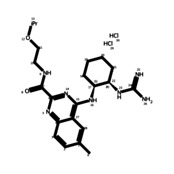 Cc1ccc2nc(C(=O)NCCOC(C)C)nc(N[C@H]3CCCC[C@H]3NC(=N)N)c2c1.Cl.Cl